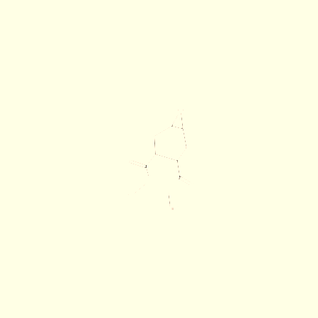 CCCOC(=O)C1CC2OC2CC1C(=O)OCCC